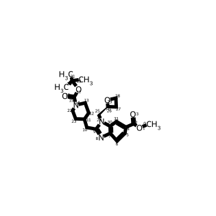 COC(=O)c1ccc2nc(CC3CCN(C(=O)OC(C)(C)C)CC3)n(C[C@@H]3CCO3)c2c1